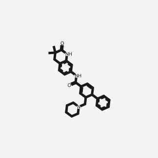 CC1(C)Cc2ccc(NC(=O)C3=CC(CN4CCCCC4)C(c4ccccc4)C=C3)cc2NC1=O